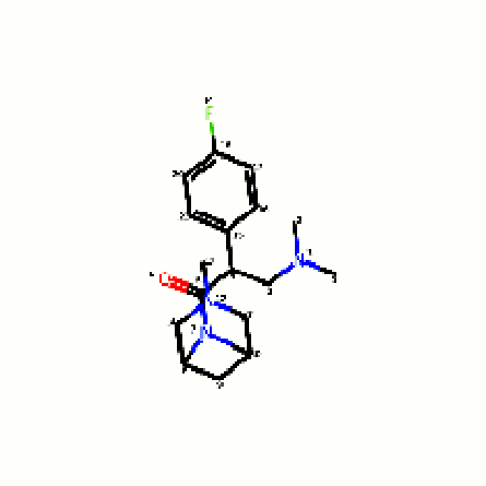 CN(C)CC(C(=O)N1C2CC1CN(C)C2)c1ccc(F)cc1